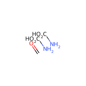 C=O.NC(=O)O.NC(=O)O